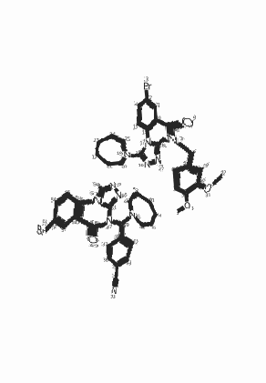 COc1ccc(Cn2c(=O)c3cc(Br)ccc3n3c(N4CCCCCC4)nnc23)cc1OC.N#Cc1ccc(C(N2CCCCCC2)n2c(=O)c3cc(Br)ccc3n3cnnc23)cc1